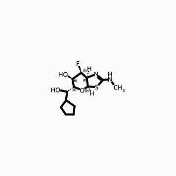 CNC1=N[C@@H]2[C@H](F)[C@H](O)[C@@H](C(O)C3CCCC3)O[C@@H]2S1